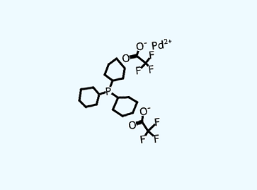 C1CCC(P(C2CCCCC2)C2CCCCC2)CC1.O=C([O-])C(F)(F)F.O=C([O-])C(F)(F)F.[Pd+2]